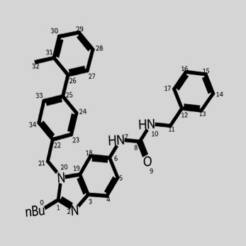 CCCCc1nc2ccc(NC(=O)NCc3ccccc3)cc2n1Cc1ccc(-c2ccccc2C)cc1